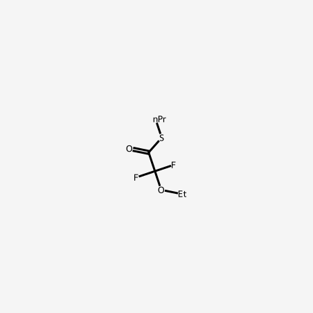 CCCSC(=O)C(F)(F)OCC